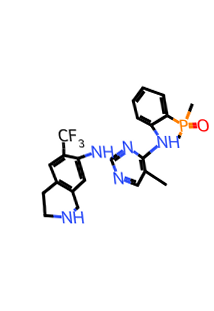 Cc1cnc(Nc2cc3c(cc2C(F)(F)F)CCNC3)nc1Nc1ccccc1P(C)(C)=O